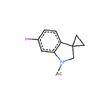 CC(=O)N1CC2(CC2)c2ccc(I)cc21